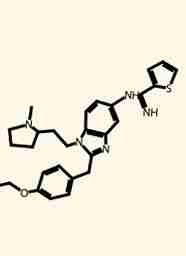 CN1CCCC1CCn1c(Cc2ccc(OCF)cc2)nc2cc(NC(=N)c3cccs3)ccc21